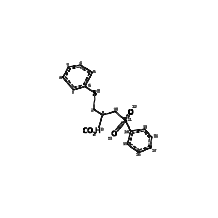 O=C(O)C(CSc1ccccc1)CS(=O)(=O)c1ccccc1